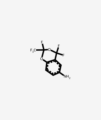 Nc1ccc2c(c1)C(F)(F)OC(F)(C(F)(F)F)O2